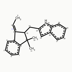 C/C=C1/c2ccccc2C(C)(C)C1Cc1cc2ccccc2[nH]1